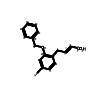 O=C(O)/C=C/Cc1ccc(I)cc1OCc1ccccc1